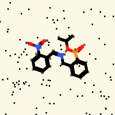 CC(C)O[PH](=O)c1ccccc1CN=Cc1ccccc1[N+](=O)[O-]